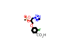 CS(=O)(=O)OC(COc1ccc(C(=O)O)c(F)c1)Cn1ncnn1